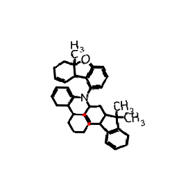 CC12CCC=CC1c1c(cccc1N(C1=CC=CCC1C1CCCCC1)C1C=CC3C4=C(CCC=C4)C(C)(C)C3C1)O2